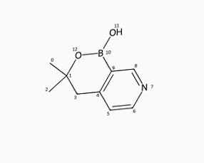 CC1(C)Cc2ccncc2B(O)O1